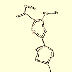 COC(=O)c1sc(-c2ccc(F)cc2)cc1NC(C)C